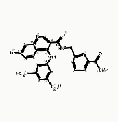 COC(=O)c1cccc(CNC(=O)c2cnc3cc(Br)ccc3c2Nc2cc(C(=O)O)cc(C(=O)O)c2)c1